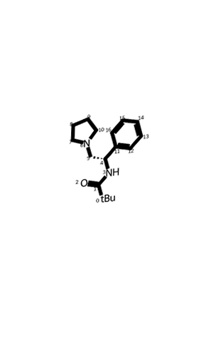 CC(C)(C)C(=O)N[C@H](CN1CCCC1)c1ccccc1